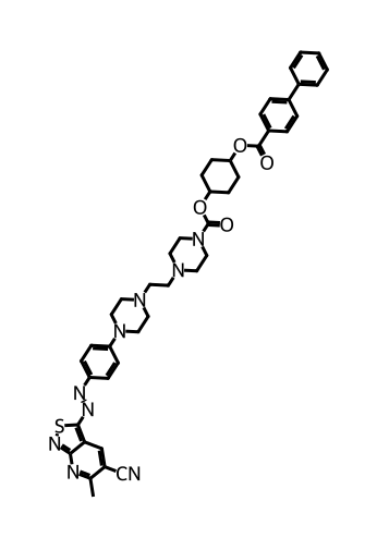 Cc1nc2nsc(N=Nc3ccc(N4CCN(CCN5CCN(C(=O)OC6CCC(OC(=O)c7ccc(-c8ccccc8)cc7)CC6)CC5)CC4)cc3)c2cc1C#N